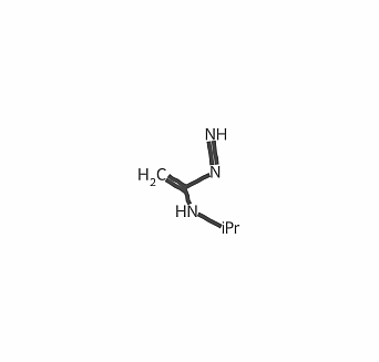 C=C(N=N)NC(C)C